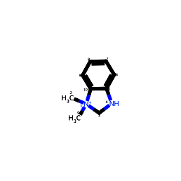 C[N+]1(C)CNc2ccccc21